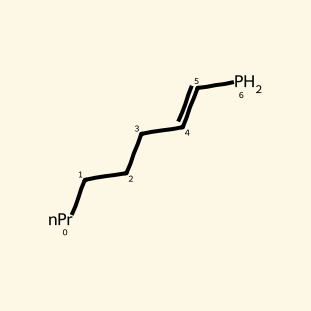 CCCCCCC=CP